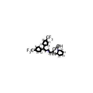 O=C(/C=C/C=C(c1ccc(C(F)(F)F)cc1)c1ccc(C(F)(F)F)cc1)NC1C=CC=C/C1=N\O